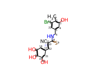 Cc1c(O)cc(CNC(=S)/C(C#N)=C/c2cc(O)c(O)c(O)c2)cc1Br